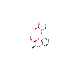 C=C(Cc1ccccc1)C(=O)OC.C=CC(=C)C(=O)OC